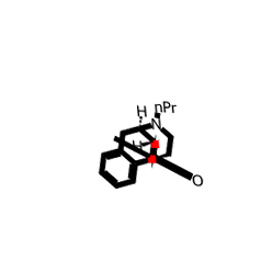 CCCN1CC[C@]23CC(=O)CC[C@H]2[C@H]1Cc1ccccc13